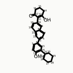 COc1ccc(-c2ccc3cc(C4=C(O)CCCC4=O)ccc3c2)cc1C1CCCCC1